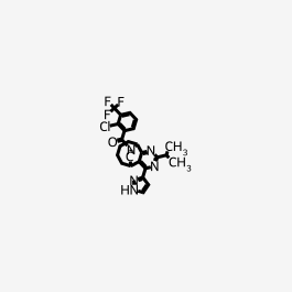 CC(C)c1nc(-c2cc[nH]n2)c2c(n1)C1CCCCC2CN1C(=O)c1cccc(C(F)(F)F)c1Cl